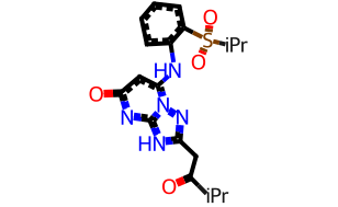 CC(C)C(=O)Cc1nn2c(Nc3ccccc3S(=O)(=O)C(C)C)cc(=O)nc2[nH]1